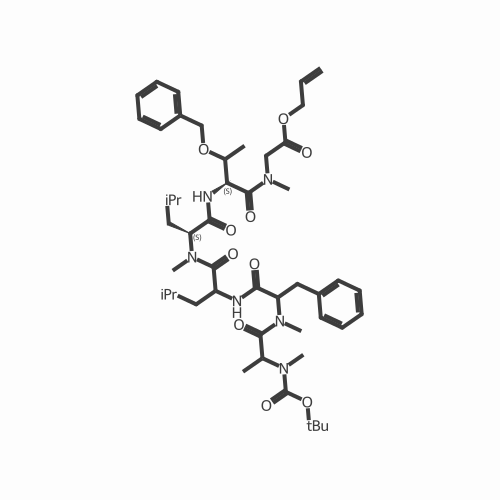 C=CCOC(=O)CN(C)C(=O)[C@@H](NC(=O)[C@H](CC(C)C)N(C)C(=O)C(CC(C)C)NC(=O)C(Cc1ccccc1)N(C)C(=O)C(C)N(C)C(=O)OC(C)(C)C)C(C)OCc1ccccc1